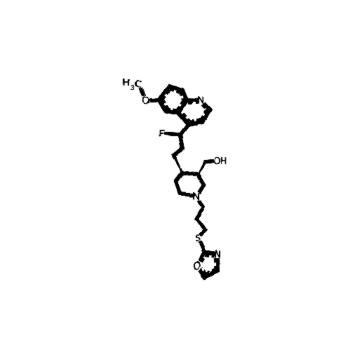 COc1ccc2nccc(C(F)CC[C@@H]3CCN(CCCSc4ncco4)C[C@@H]3CO)c2c1